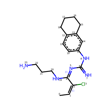 C/C=C(Cl)\C(=N/C(=N)Nc1ccc2c(c1)CCCC2)NCCCN